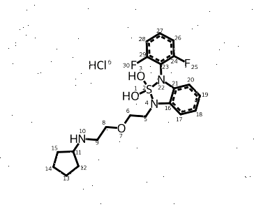 Cl.OS1(O)N(CCOCCNC2CCCC2)c2ccccc2N1c1c(F)cccc1F